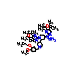 C=CCOc1cc(CN2CCC(C3CC(N(N)c4ncc5c(n4)C(C)(C)OC5(C)C)CCN3c3ncc4c(n3)C(C)(C)OC4(C)C)CC2)ccc1OC